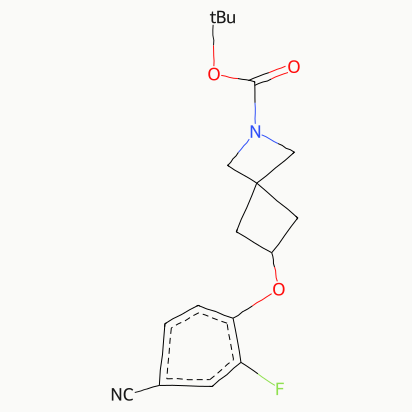 CC(C)(C)OC(=O)N1CC2(CC(Oc3ccc(C#N)cc3F)C2)C1